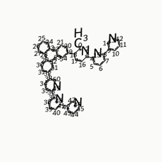 CC1N=C(c2cccc(-c3cccnc3)n2)C=CC1c1ccc2c3ccccc3c3ccc(-c4ccc(-c5cccc(-c6cccnc6)n5)nc4)cc3c2c1